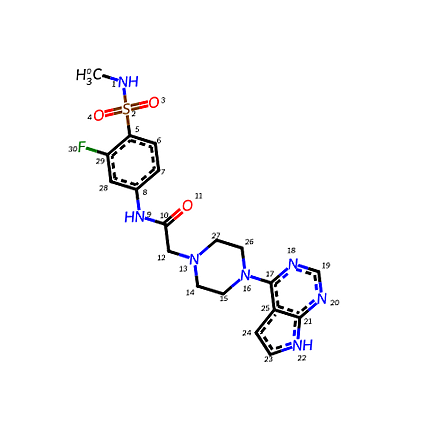 CNS(=O)(=O)c1ccc(NC(=O)CN2CCN(c3ncnc4[nH]ccc34)CC2)cc1F